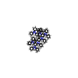 CC1(C)c2ccccc2N(c2ccccc2)c2ccc3c(c21)N(c1ccccc1)c1cc(N(c2ccccc2)c2ccccc2)cc2c1B3c1cc3c(cc1N2c1ccccc1)N(c1ccccc1)c1cc(N(c2ccccc2)c2ccccc2)cc2c1B3c1ccccc1N2c1ccccc1